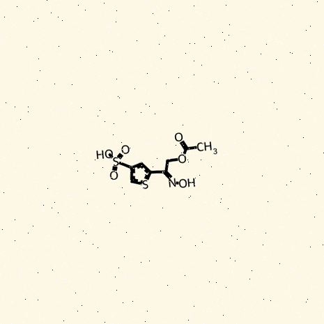 CC(=O)OC/C(=N\O)c1cc(S(=O)(=O)O)cs1